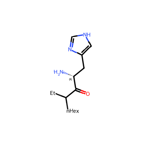 CCCCCCC(CC)C(=O)[C@H](N)Cc1c[nH]cn1